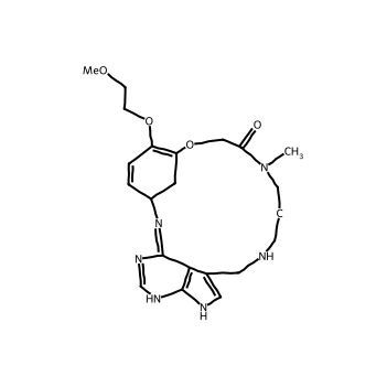 COCCOC1=C2CC(C=C1)/N=C1\N=CNc3[nH]cc(c31)CNCCCN(C)C(=O)CO2